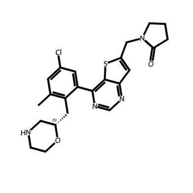 Cc1cc(Cl)cc(-c2ncnc3cc(CN4CCCC4=O)sc23)c1C[C@H]1CNCCO1